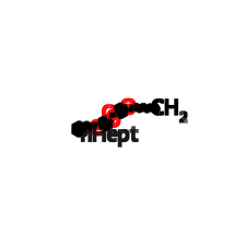 C=CCCCCCCOc1ccc(C(=O)Oc2ccc(OCCCC3CCCCC3CCCCCCC)cc2)cc1